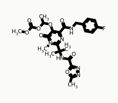 COC(=O)OC(C)Oc1c(C(=O)NCc2ccc(F)cc2)nc(C(C)(C)NC(=O)c2nnc(C)o2)n(C)c1=O